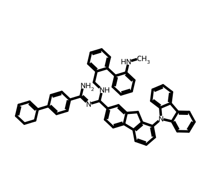 CNc1ccccc1-c1ccccc1CNC(/N=C(\N)c1ccc(C2=CC=CCC2)cc1)c1ccc2c(c1)Cc1c-2cccc1-n1c2ccccc2c2ccccc21